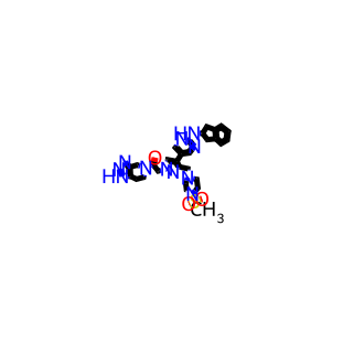 CS(=O)(=O)N1CCN(Cc2nn(CC(=O)N3CCc4[nH]nnc4C3)cc2-c2cnc(NC3Cc4ccccc4C3)nc2)CC1